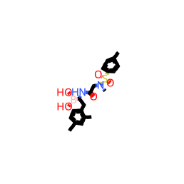 Cc1ccc(S(=O)(=O)N(C)CC(=O)NC(Cc2ccc(C)cc2C)B(O)O)cc1